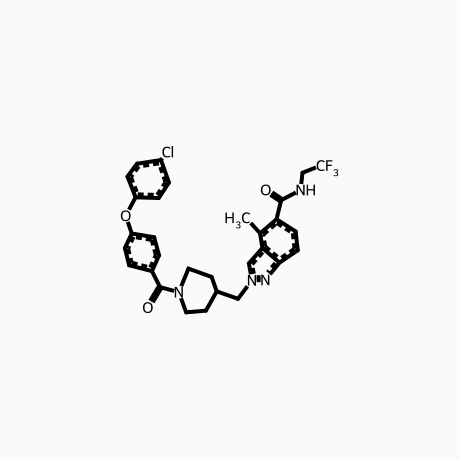 Cc1c(C(=O)NCC(F)(F)F)ccc2nn(CC3CCN(C(=O)c4ccc(Oc5ccc(Cl)cc5)cc4)CC3)cc12